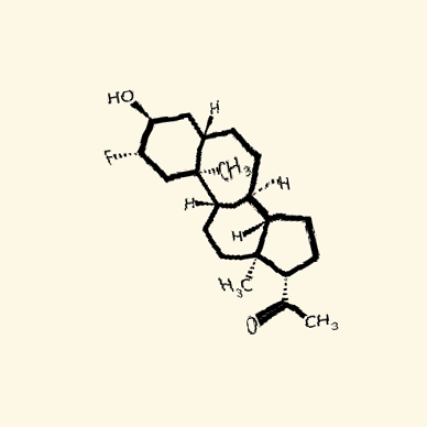 CC(=O)[C@H]1CC[C@H]2[C@@H]3CC[C@H]4C[C@H](O)[C@@H](F)C[C@]4(C)[C@H]3CC[C@]12C